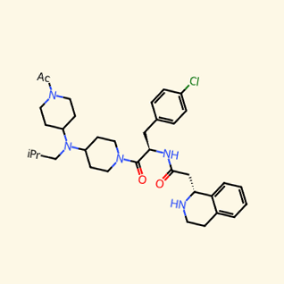 CC(=O)N1CCC(N(CC(C)C)C2CCN(C(=O)[C@@H](Cc3ccc(Cl)cc3)NC(=O)C[C@H]3NCCc4ccccc43)CC2)CC1